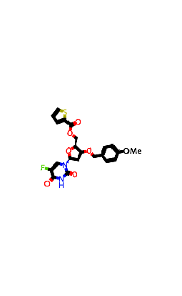 COc1ccc(COC2C[C@@H](n3cc(F)c(=O)[nH]c3=O)O[C@H]2COC(=O)c2cccs2)cc1